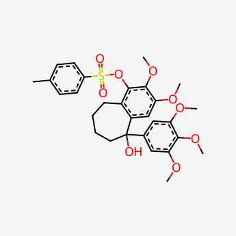 COc1cc(C2(O)CCCCc3c2cc(OC)c(OC)c3OS(=O)(=O)c2ccc(C)cc2)cc(OC)c1OC